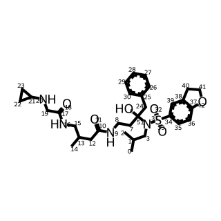 CC(C)CN(C(O)(CCNC(=O)CC(C)CNC(=O)CNC1CC1)Cc1ccccc1)S(=O)(=O)c1ccc2c(c1)CCO2